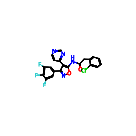 O=C(Cc1ccccc1Cl)Nc1onc(-c2cc(F)c(F)c(F)c2)c1-c1ccncn1